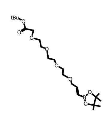 CC(C)(C)OC(=O)COCCOCCOCCOC/C=C/B1OC(C)(C)C(C)(C)O1